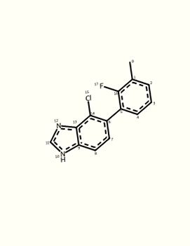 Cc1cccc(-c2ccc3[nH]cnc3c2Cl)c1F